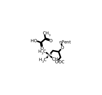 CC(=O)C(=O)O.CCCCCOC(CC(=O)[O-])C[N+](C)(C)C